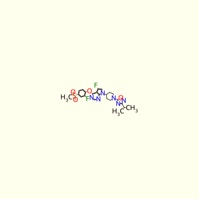 CC(C)c1noc(N2CCC(n3cc(F)c4c(Oc5ccc(S(C)(=O)=O)cc5F)ncnc43)CC2)n1